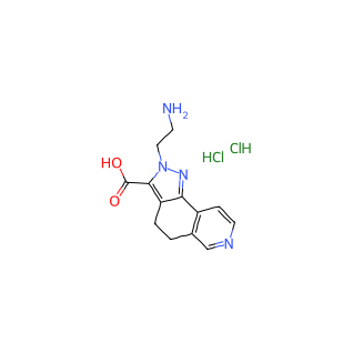 Cl.Cl.NCCn1nc2c(c1C(=O)O)CCc1cnccc1-2